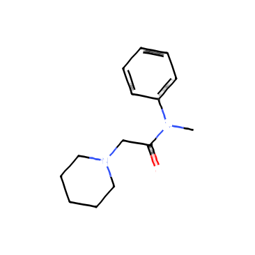 CN(C(=O)CN1CCCCC1)c1ccccc1